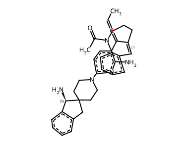 CC=C=C(/C1=C\c2ccccc2N(C(C)=O)CCC1)c1ccc(N2CCC3(CC2)Cc2ccccc2[C@H]3N)nc1N